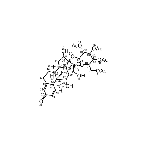 CC(=O)OC[C@H]1OC(O[C@]2(C(=O)CO)[C@H](C)C[C@H]3[C@@H]4CCC5=CC(=O)C=C[C@]5(C)[C@@]4(F)[C@@H](O)C[C@@]32C)[C@H](OC(C)=O)[C@@H](OC(C)=O)[C@H]1OC(C)=O